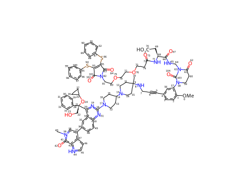 COc1ccc(C#CCNC2(C)CCN(C3CCN(c4nc([C@@](CO)(OC5CC5)c5ccccc5)c5cc(-c6cn(C)c(=O)c7[nH]ccc67)ccc5n4)CC3)CC2)cc1N1CCC(=O)N(CNC(=O)[C@H](CC(=O)O)NC(=O)CCOCCOCCN2C(=O)C(Sc3ccccc3)=C(Sc3ccccc3)C2=O)C1=O